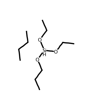 CCCC.CCCO[SiH](OCC)OCC